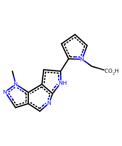 Cn1ncc2cnc3[nH]c(-c4cccn4CC(=O)O)cc3c21